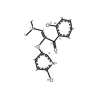 CN(C)/C=C(\Oc1ccc(Cl)nc1)C(=O)c1ccccc1Cl